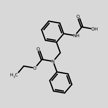 CCOC(=O)N(Cc1ccccc1NC(=O)O)c1ccccc1